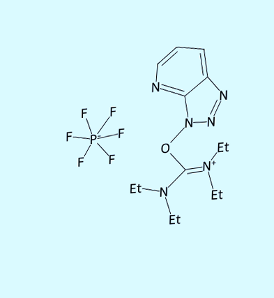 CCN(CC)C(On1nnc2cccnc21)=[N+](CC)CC.F[P-](F)(F)(F)(F)F